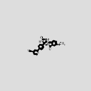 COc1ccc2c(c1)C(=O)N(C[C@@]1(c3ccc(-c4cc(C#N)ccn4)cc3)NC(=O)NC1=O)C2